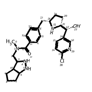 CN(CC1NNC2CCCC21)C(=O)c1ccc(C[C@@H]2CC[C@H]([C@H](O)c3ccc(Cl)nc3)N2)cc1